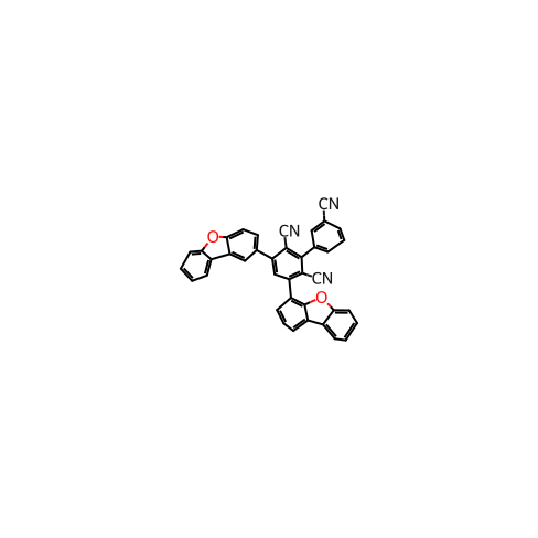 N#Cc1cccc(-c2c(C#N)c(-c3ccc4oc5ccccc5c4c3)cc(-c3cccc4c3oc3ccccc34)c2C#N)c1